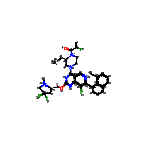 C=C(F)C(=O)N1CCN(c2nc(OC[C@@H]3CC(F)(F)CN3C)nc3c(F)c(-c4cccc5cccc(C)c45)ncc23)C[C@@H]1CC#N